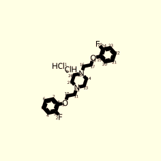 Cl.Cl.Fc1ccccc1OCCN1CCN(CCOc2ccccc2F)CC1